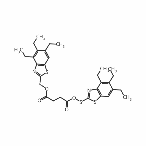 CCc1cc2sc(SOC(=O)CCC(=O)OSc3nc4c(CC)c(CC)c(CC)cc4s3)nc2c(CC)c1CC